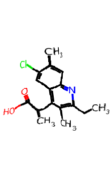 CCc1nc2cc(C)c(Cl)cc2c(C(C)C(=O)O)c1C